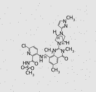 Cc1cc([C@@H](C)Nc2ccc(Cl)nc2C(=O)NS(C)(=O)=O)c2nc(N3C[C@H]4C[C@@H]3CN4c3ccn(C)n3)n(C)c(=O)c2c1